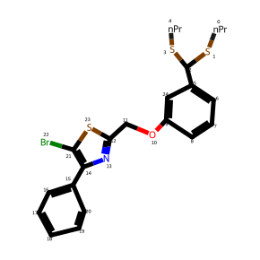 CCCSC(SCCC)c1cccc(OCc2nc(-c3ccccc3)c(Br)s2)c1